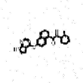 Cc1ccccc1NC(=O)c1cccc2cc(Oc3ncnc4[nH]ccc34)ccc12